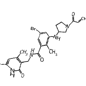 C=CC(=O)N1CCC(Nc2cc(Br)cc(C(=O)NCc3c(C)cc(C)[nH]c3=O)c2C)C1